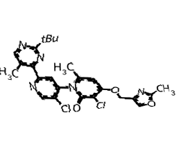 Cc1nc(COc2cc(C)n(-c3cc(-c4nc(C(C)(C)C)ncc4C)ncc3Cl)c(=O)c2Cl)co1